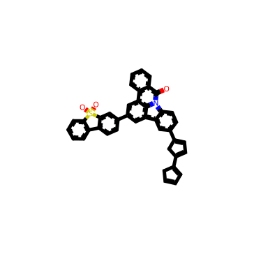 O=c1c2ccccc2c2cc(-c3ccc4c(c3)S(=O)(=O)c3ccccc3-4)cc3c4cc(C5=CC=C(C6=CC=CC6)C5)ccc4n1c23